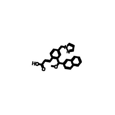 COC(c1ccc2ccccc2c1)c1cc(Cn2cccn2)ccc1/C=C/C(=O)O